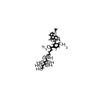 Cc1ccc(C(C)CCCCNC(=O)C(O)C(O)C(O)C(O)CO)cc1COC1(c2cnccc2-c2ccccc2OC2CC2)CC1